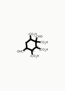 O=CC1CC(C(=O)O)C(C=O)(C(=O)O)C(C(=O)O)C1C(=O)O